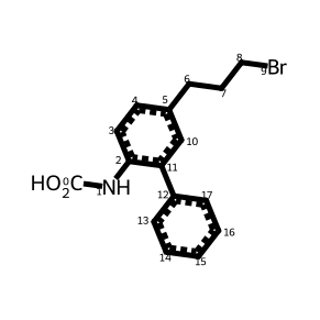 O=C(O)Nc1ccc(CCCBr)cc1-c1ccccc1